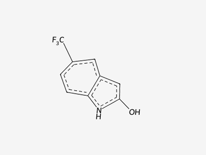 Oc1cc2cc(C(F)(F)F)ccc2[nH]1